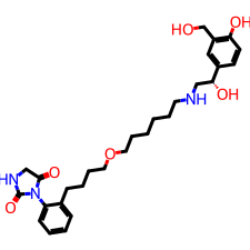 O=C1CNC(=O)N1c1ccccc1CCCCOCCCCCCNC[C@@H](O)c1ccc(O)c(CO)c1